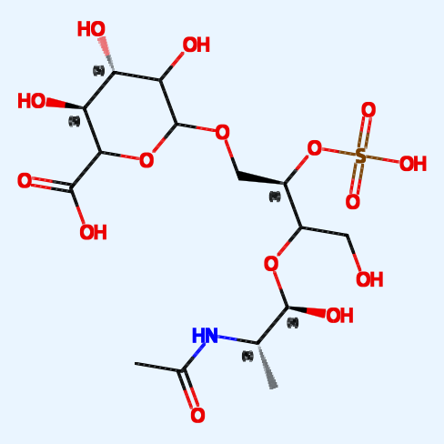 CC(=O)N[C@@H](C)[C@H](O)OC(CO)[C@@H](COC1OC(C(=O)O)[C@@H](O)[C@H](O)C1O)OS(=O)(=O)O